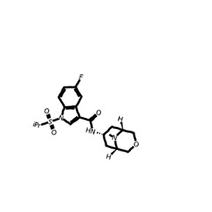 CC(C)S(=O)(=O)n1cc(C(=O)N[C@H]2C[C@H]3COC[C@@H](C2)N3C)c2cc(F)ccc21